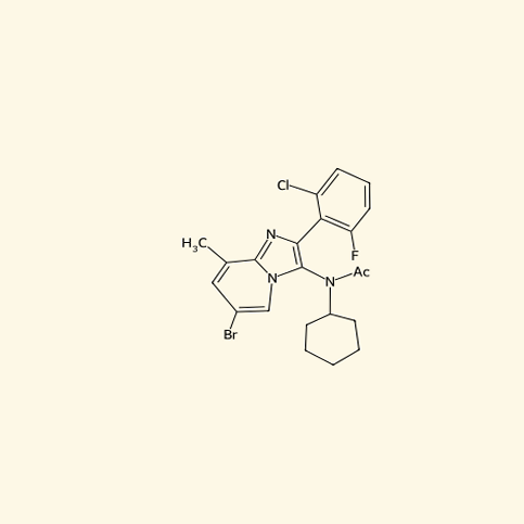 CC(=O)N(c1c(-c2c(F)cccc2Cl)nc2c(C)cc(Br)cn12)C1CCCCC1